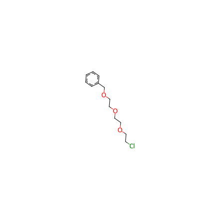 ClCCOCCOCCOCc1ccccc1